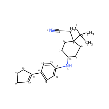 CC(C)(C)C1(CC#N)CCC(Nc2ccc(C3=CCCC3)cc2)CC1